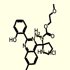 COCCOC(=O)N(N)[C@@]1(c2nc(-c3ccccc3O)nc3cc(C)ccc23)CCCN1.Cl